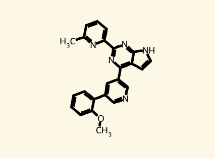 COc1ccccc1-c1cncc(-c2nc(-c3cccc(C)n3)nc3[nH]ccc23)c1